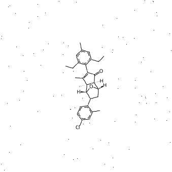 CCc1cc(C)cc(CC)c1C1=C(C)[C@]2(C)[C@@H]3O[C@@H](CC3c3ccc(Cl)cc3C)[C@@H]2C1=O